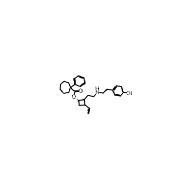 C=CC1C[C@H](OC(=O)C2(c3ccccc3)CCCCCC2)C1CCNCCc1ccc(C#N)cc1